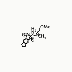 COCCCN(C)CC(N)c1n[n+]([O-])c2cc3c(cc2[n+]1[O-])CCC3